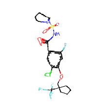 O=C(NS(=O)(=O)N1CCC1)c1cc(Cl)c(OCC2(C(F)(F)F)CCCC2)cc1F